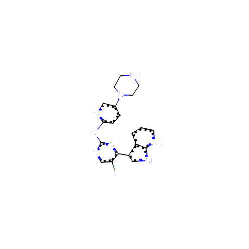 Fc1cnc(Nc2ccc(N3CCNCC3)cn2)nc1-c1c[nH]c2ncccc12